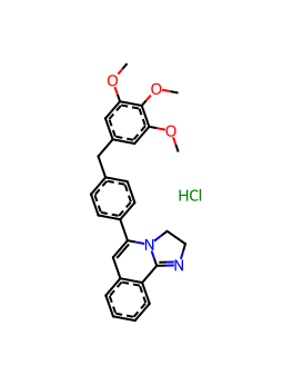 COc1cc(Cc2ccc(C3=Cc4ccccc4C4=NCCN34)cc2)cc(OC)c1OC.Cl